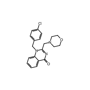 O=c1nc(CN2CCOCC2)n(Cc2ccc(Cl)cc2)c2ccccc12